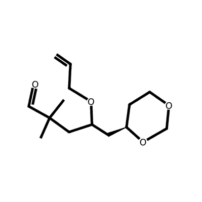 C=CCOC(C[C@H]1CCOCO1)CC(C)(C)C=O